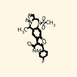 CNC(=O)c1c(-c2ccc(F)cc2)oc2cc3c(cc12)C(C)n1nncc1CN3S(C)(=O)=O